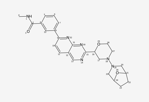 CNC(=O)c1cccc(-c2ccc3cnc(C4CN(N5CC6CCC(C5)O6)CCO4)nc3n2)c1